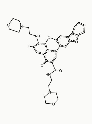 O=C(NCCN1CCOCC1)c1cn2c3c(c(NCCN4CCOCC4)c(F)cc3c1=O)Oc1cc3c(cc1-2)oc1ccccc13